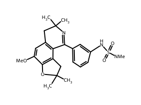 CNS(=O)(=O)Nc1cccc(C2=NC(C)(C)Cc3cc(OC)c4c(c32)CC(C)(C)O4)c1